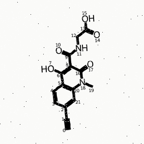 C#Cc1ccc2c(O)c(C(=O)NCC(=O)O)c(=O)n(C)c2c1